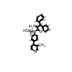 Cc1cnccc1-c1ccc(NC(=O)C(N)C(c2ccccc2)c2ccccc2)cc1.Cl.Cl